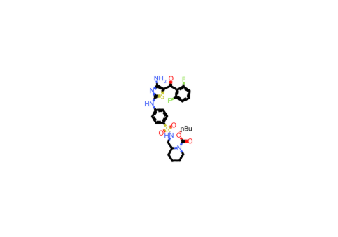 CCCCOC(=O)N1CCCCC1CNS(=O)(=O)c1ccc(Nc2nc(N)c(C(=O)c3c(F)cccc3F)s2)cc1